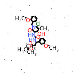 CCOc1cccc(C(CC(=O)OC(C)(C)C)NC(=O)Nc2c(O)c(C)cn(Cc3c(Cl)cccc3OCC)c2=O)c1